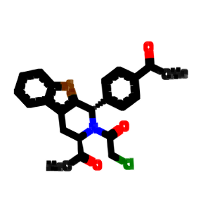 COC(=O)c1ccc([C@H]2c3sc4ccccc4c3C[C@H](C(=O)OC)N2C(=O)CCl)cc1